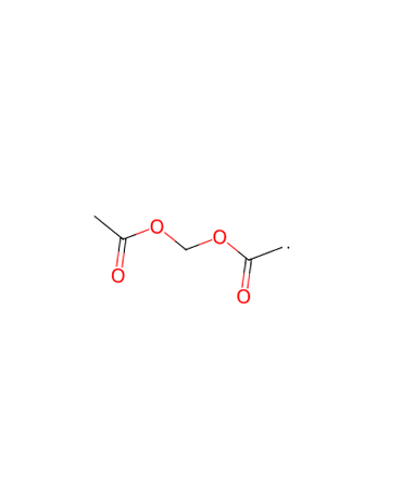 [CH2]C(=O)OCOC(C)=O